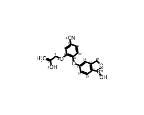 C=C(O)COc1cc(C#N)ccc1Oc1ccc2c(c1)COB2O